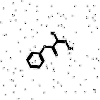 N#C/C(=N/O)C(=O)Oc1ccccc1